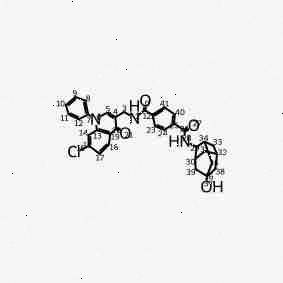 O=C(NCc1cn(-c2ccccc2)c2cc(Cl)ccc2c1=O)c1ccc(C(=O)NC2C3CC4CC2CC(O)(C4)C3)cc1